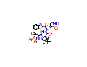 CC(C)S(=O)(=O)N[C@H](C(=O)N1C[C@H]2[C@@H]([C@H]1C(=O)N[C@@H](C[C@@H]1CCNC1=O)C(=O)c1nc3ccccc3s1)C2(C)C)C(C)(C)C